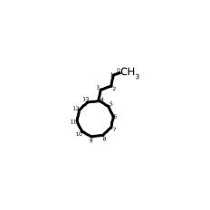 C[CH]CCC1CCCCCCCCC1